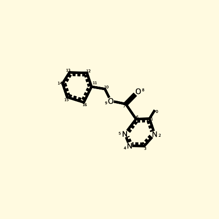 Cc1ncnnc1C(=O)OCc1ccccc1